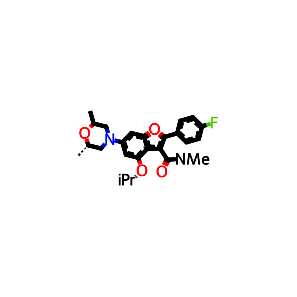 CNC(=O)c1c(-c2ccc(F)cc2)oc2cc(N3CC(C)O[C@@H](C)C3)cc(OC(C)C)c12